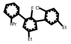 CCCc1ccccc1-c1cc(CC)cc(-c2cc(CC)ccc2Cl)c1F